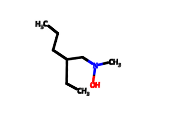 CCCC(CC)CN(C)O